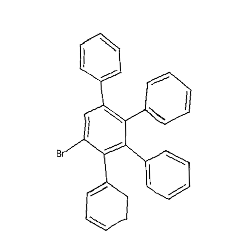 Brc1cc(-c2ccccc2)c(-c2ccccc2)c(-c2ccccc2)c1C1=CC=CCC1